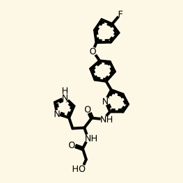 O=C(CO)NC(Cc1c[nH]cn1)C(=O)Nc1cccc(-c2ccc(Oc3ccc(F)cc3)cc2)n1